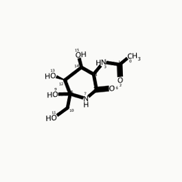 CC(=O)NC1C(=O)NC(O)(CO)[C@@H](O)C1O